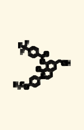 COc1ccc(-n2ccc3cc(CO)cc(OC(=O)c4ccc(C(F)(F)F)cc4)c3c2=O)cc1